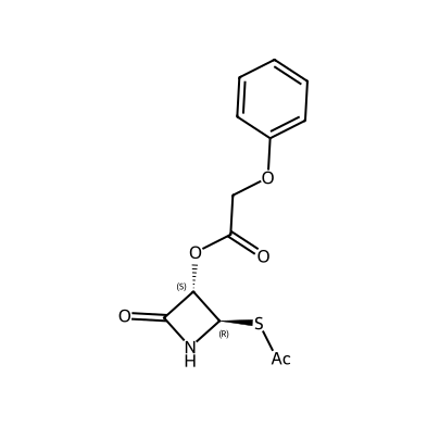 CC(=O)S[C@H]1NC(=O)[C@@H]1OC(=O)COc1ccccc1